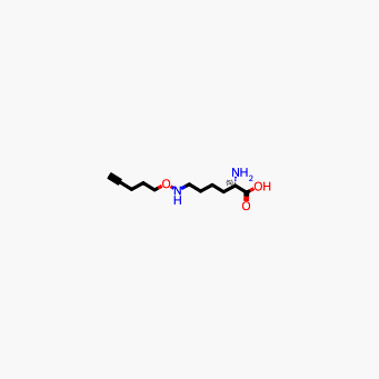 C#CCCCONCCCC[C@H](N)C(=O)O